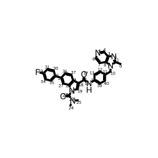 Cc1nc2cnccc2n1Cc1ccc(NC(=O)c2cn(C(=O)N(C)C)c3cc(-c4ccc(F)cc4)ccc23)cc1